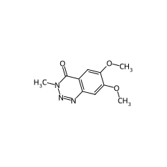 COc1cc2nnn(C)c(=O)c2cc1OC